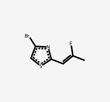 C/C(F)=C/c1nc(Br)cs1